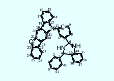 c1ccc(C2NC(c3cccc(-n4c5ccccc5c5cc6oc7ccccc7c6cc54)c3)Nc3ccccc32)cc1